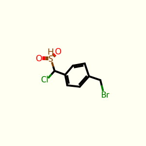 O=[SH](=O)C(Cl)c1ccc(CBr)cc1